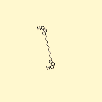 OOOCCCCCCCCCOOO